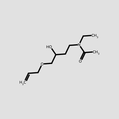 C=CCOCC(O)CCN(CC)C(C)=O